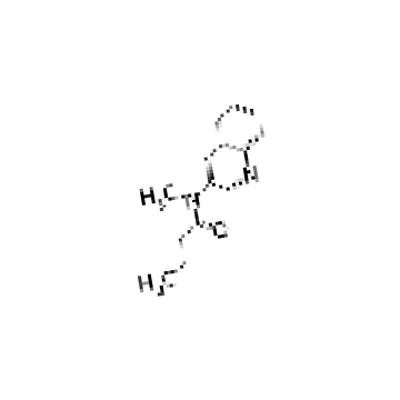 CCCC(=O)N(C)c1cnc2ccccc2c1